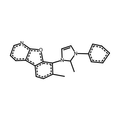 Cc1ccc2c(oc3ncccc32)c1N1C=CN(c2ccccc2)C1C